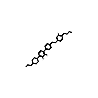 CCCCc1ccc(CCc2ccc(-c3ccc(C4CCC(CCC)CC4)c(F)c3F)cc2)cc1F